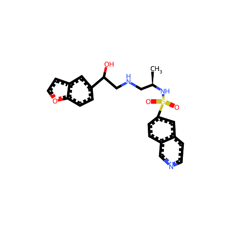 C[C@H](CNCC(O)c1ccc2occc2c1)NS(=O)(=O)c1ccc2cnccc2c1